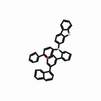 c1ccc(-c2ccc(N(c3ccc4c(c3)oc3ccccc34)c3ccccc3-c3cccc(-c4cccc5ccccc45)c3)cc2)cc1